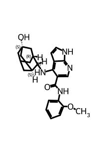 COc1ccccc1NC(=O)c1cnc2[nH]ccc2c1N[C@H]1[C@@H]2CC3C[C@H]1C[C@@](O)(C3)C2